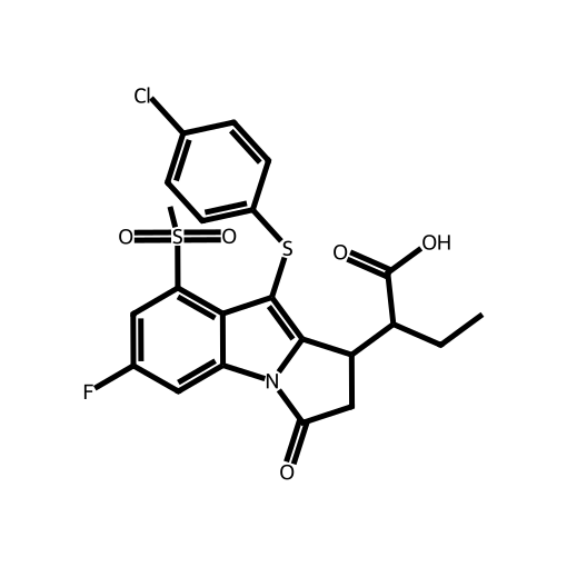 CCC(C(=O)O)C1CC(=O)n2c1c(Sc1ccc(Cl)cc1)c1c(S(C)(=O)=O)cc(F)cc12